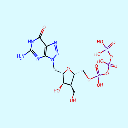 Nc1nc2c(nnn2C[C@@H]2O[C@H](COP(=O)(O)OP(=O)(O)OP(=O)(O)O)[C@@H](CO)[C@H]2O)c(=O)[nH]1